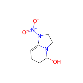 O=[N+]([O-])N1CCN2C1=CCCC2O